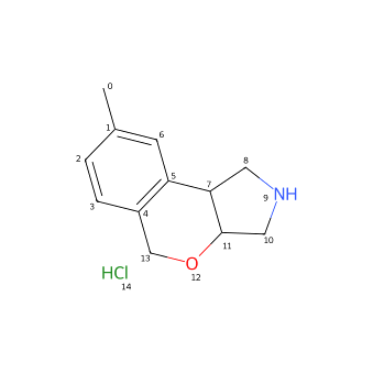 Cc1ccc2c(c1)C1CNCC1OC2.Cl